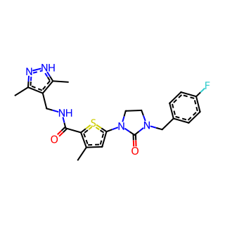 Cc1cc(N2CCN(Cc3ccc(F)cc3)C2=O)sc1C(=O)NCc1c(C)n[nH]c1C